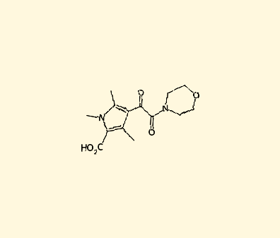 Cc1c(C(=O)C(=O)N2CCOCC2)c(C)n(C)c1C(=O)O